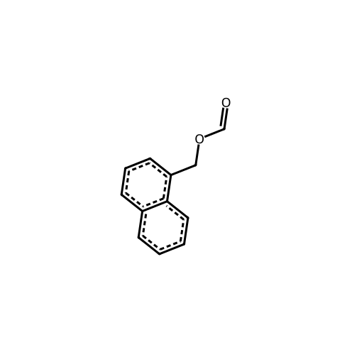 O=COCc1cccc2ccccc12